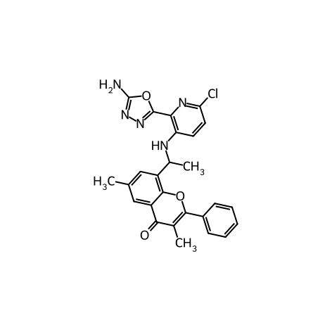 Cc1cc(C(C)Nc2ccc(Cl)nc2-c2nnc(N)o2)c2oc(-c3ccccc3)c(C)c(=O)c2c1